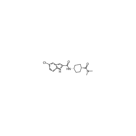 CN(C)C(=O)[C@H]1CC[C@H](NC(=O)c2cc3cc(Cl)ccc3[nH]2)CC1